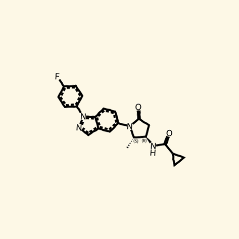 C[C@H]1[C@H](NC(=O)C2CC2)CC(=O)N1c1ccc2c(cnn2-c2ccc(F)cc2)c1